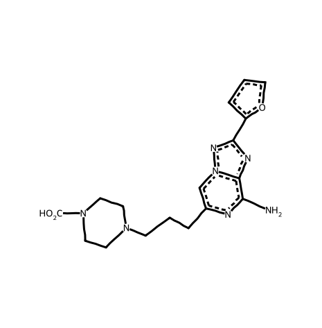 Nc1nc(CCCN2CCN(C(=O)O)CC2)cn2nc(-c3ccco3)nc12